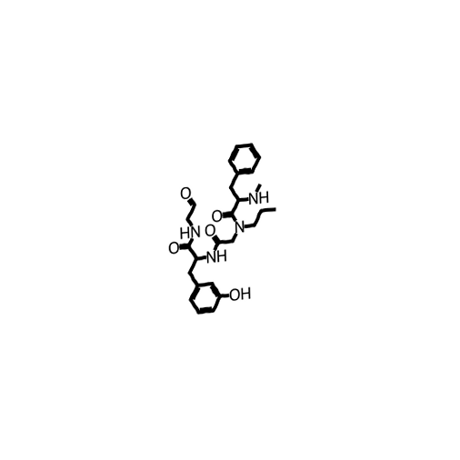 CCCN(CC(=O)NC(Cc1cccc(O)c1)C(=O)NCC=O)C(=O)C(Cc1ccccc1)NC